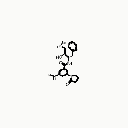 CCNc1cc(C(=O)N[C@@H](Cc2ccccc2)[C@@H](O)CNC(C)CC)cc(N2CCCC2=O)c1